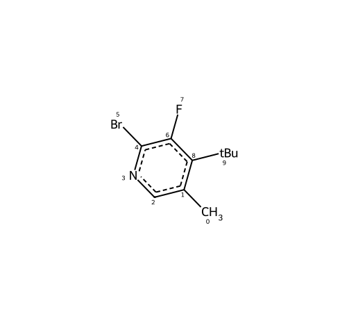 Cc1cnc(Br)c(F)c1C(C)(C)C